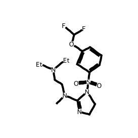 CCN(CC)CCN(C)C1=NCCN1S(=O)(=O)c1cccc(OC(F)F)c1